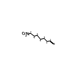 [CH]=CCCCCCC[N+](=O)[O-]